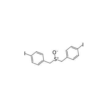 [O-][S+](Cc1ccc(I)cc1)Cc1ccc(I)cc1